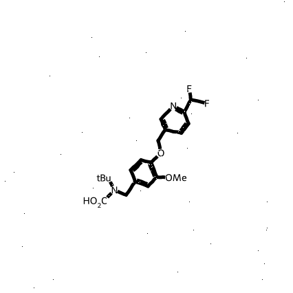 COc1cc(CN(C(=O)O)C(C)(C)C)ccc1OCc1ccc(C(F)F)nc1